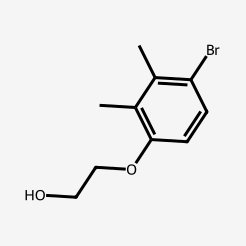 Cc1c(Br)ccc(OCCO)c1C